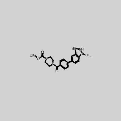 CN1NNc2cc(-c3ccc(C(=O)N4CCN(C(=O)OC(C)(C)C)CC4)cc3)ccc21